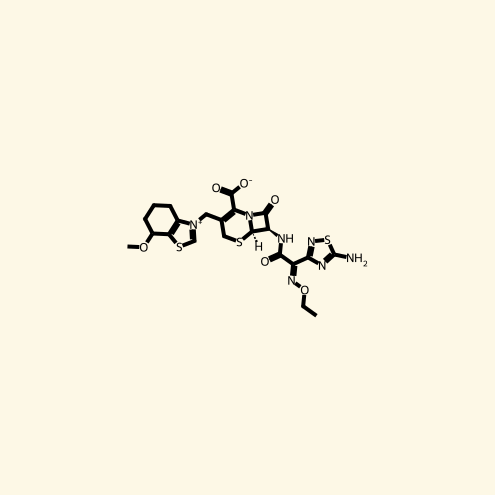 CCO/N=C(/C(=O)N[C@@H]1C(=O)N2C(C(=O)[O-])=C(C[n+]3csc4c3CCCC4OC)CS[C@H]12)c1nsc(N)n1